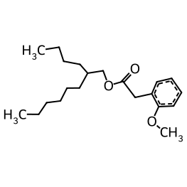 CCCCCCC(CCCC)COC(=O)Cc1ccccc1OC